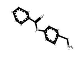 NCc1ccc(OC(=O)c2ccccc2)cc1